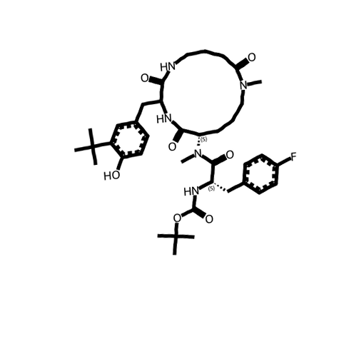 CN1CCC[C@H](N(C)C(=O)[C@H](Cc2ccc(F)cc2)NC(=O)OC(C)(C)C)C(=O)NC(Cc2ccc(O)c(C(C)(C)C)c2)C(=O)NCCCC1=O